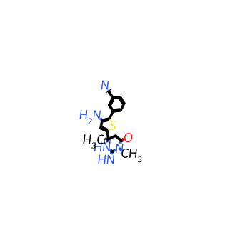 CN1C(=N)N[C@](C)(c2cc(N)c(-c3cccc(C#N)c3)s2)CC1=O